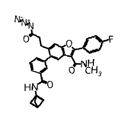 CNC(=O)c1c(-c2ccc(F)cc2)oc2cc(CCC(=O)N=[N+]=[N-])c(-c3cccc(C(=O)NC45CC(C4)C5)c3)cc12